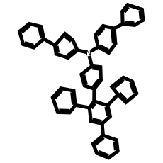 c1ccc(-c2ccc(N(c3ccc(-c4ccccc4)cc3)c3ccc(-c4c(-c5ccccc5)cc(-c5ccccc5)cc4-c4ccccc4)cc3)cc2)cc1